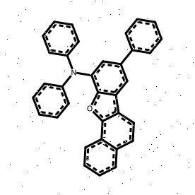 c1ccc(-c2cc(N(c3ccccc3)c3ccccc3)c3oc4c5ccccc5ccc4c3c2)cc1